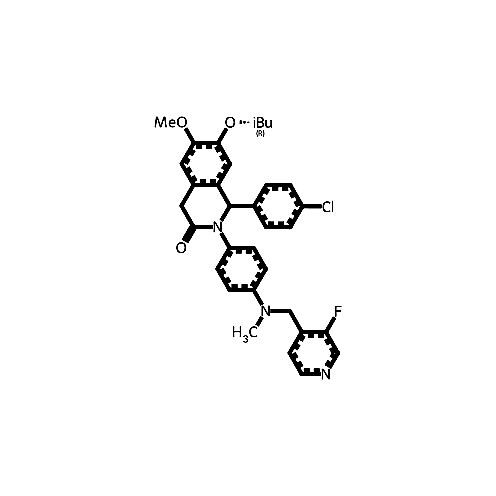 CC[C@@H](C)Oc1cc2c(cc1OC)CC(=O)N(c1ccc(N(C)Cc3ccncc3F)cc1)C2c1ccc(Cl)cc1